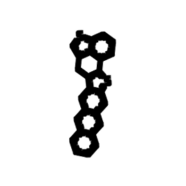 c1ccc2cc3cc4c5c(sc4cc3cc2c1)-c1cccc2scc(c12)C5